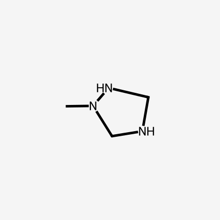 CN1CNCN1